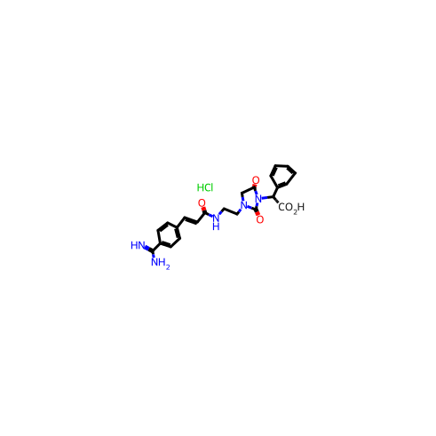 Cl.N=C(N)c1ccc(C=CC(=O)NCCN2CC(=O)N(C(C(=O)O)c3ccccc3)C2=O)cc1